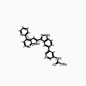 CC(C)(C)C(=O)Nc1cncc(-c2ccc3[nH]nc(-c4cc5c(-c6ccccn6)ccnc5[nH]4)c3c2)c1